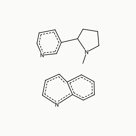 CN1CCCC1c1cccnc1.c1ccc2ncccc2c1